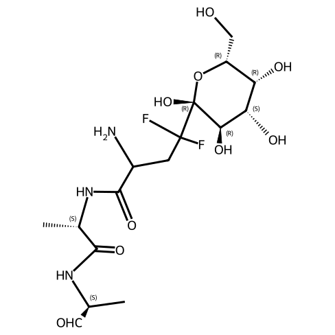 C[C@H](NC(=O)C(N)CC(F)(F)[C@]1(O)O[C@H](CO)[C@H](O)[C@H](O)[C@H]1O)C(=O)N[C@@H](C)C=O